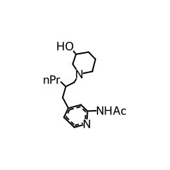 CCCC(Cc1ccnc(NC(C)=O)c1)CN1CCCC(O)C1